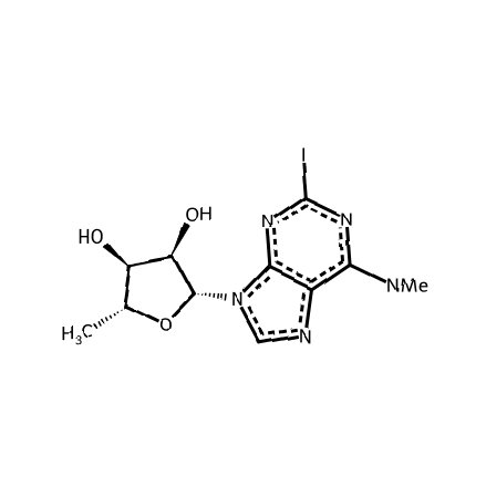 CNc1nc(I)nc2c1ncn2[C@@H]1O[C@H](C)[C@@H](O)[C@H]1O